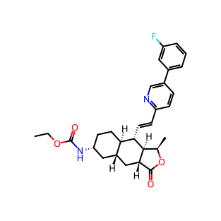 CCOC(=O)N[C@@H]1CC[C@@H]2[C@@H](C1)C[C@H]1C(=O)O[C@H](C)[C@@H]1[C@H]2/C=C/c1ccc(-c2cccc(F)c2)cn1